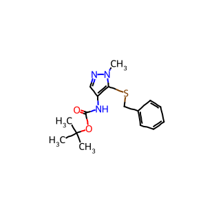 Cn1ncc(NC(=O)OC(C)(C)C)c1SCc1ccccc1